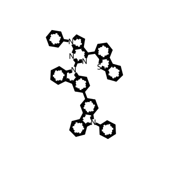 c1ccc(-n2ccc3c(-c4cccc5c4sc4ccccc45)nc(-n4c5ccccc5c5cc(-c6ccc7c(c6)c6ccccc6n7-c6ccccc6)ccc54)nc32)cc1